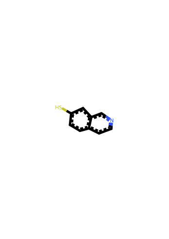 Sc1ccc2ccncc2c1